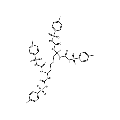 Cc1ccc(S(=O)(=O)NC(=O)NC(CCCCC(C)(NC(=O)NS(=O)(=O)c2ccc(C)cc2)NC(=O)NS(=O)(=O)c2ccc(C)cc2)NC(=O)NS(=O)(=O)c2ccc(C)cc2)cc1